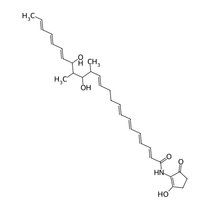 C/C=C/C=C/C=C/C(O)C(C)C(O)C(C)/C=C/CC/C=C/C=C/C=C/C=C/C(=O)NC1=C(O)CCC1=O